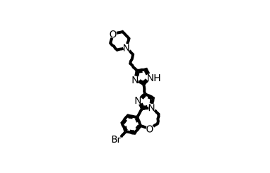 Brc1ccc2c(c1)OCCn1cc(-c3nc(CCN4CCOCC4)c[nH]3)nc1-2